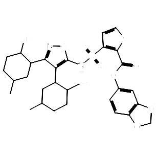 CC1CCC(C(C)C)C(c2noc(NS(=O)(=O)c3ccsc3C(=O)Oc3ccc4c(c3)OCO4)c2C2CC(C)CCC2C(C)C)C1